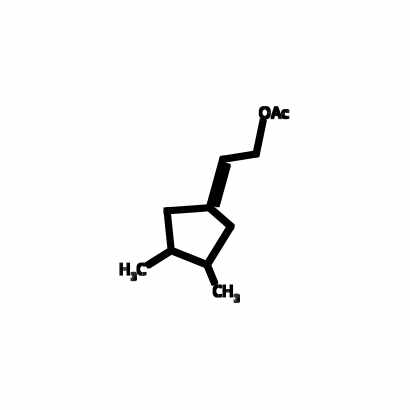 CC(=O)OCC=C1CC(C)C(C)C1